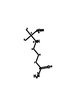 CCCCCCC(C)(C)NCCCC(N)=O